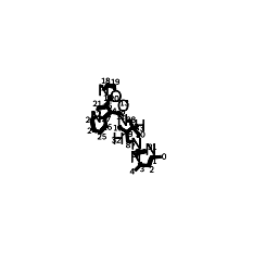 Cc1cc(C)nc(N2C[C@H]3CN(C(=O)c4c(-c5ncco5)cn5ccccc45)C[C@H]3C2)n1